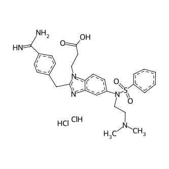 CN(C)CCN(c1ccc2c(c1)nc(Cc1ccc(C(=N)N)cc1)n2CCC(=O)O)S(=O)(=O)c1ccccc1.Cl.Cl